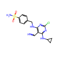 N=Cc1c(NCc2ccc(S(N)(=O)=O)cc2)nc(Cl)nc1NC1CC1